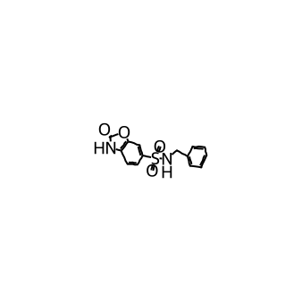 O=c1[nH]c2ccc(S(=O)(=O)NCc3ccccc3)cc2o1